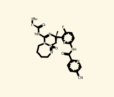 CC(C)(C)OC(=O)NC1=N[C@](C)(c2nc(NC(=O)c3ccc(C#N)cn3)ccc2F)CS2(=O)=NCCCCN12